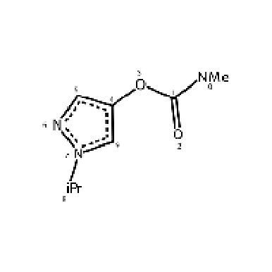 CNC(=O)Oc1cnn(C(C)C)c1